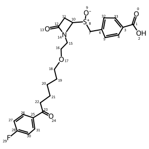 O=C(O)c1ccc(C[S+]([O-])C2CC(=O)N2CCOCCCCCC(=O)c2ccc(F)cc2)cc1